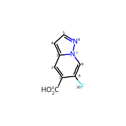 O=C(O)c1cc2ccnn2cc1F